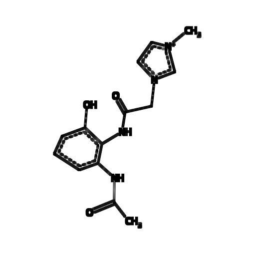 CC(=O)Nc1cccc(O)c1NC(=O)Cn1cc[n+](C)c1